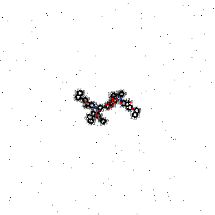 CC1(C)c2cc(-c3cccc4ccccc34)ccc2-c2ccc(N(c3ccc4cc5cc(-c6ccc(N(c7ccc8c(c7)C(C)(C)c7cc(-c9cccc%10ccccc9%10)ccc7-8)c7ccc8c(ccc9ccccc98)c7)c(-c7cccc(-c8ccccc8)c7)c6)ccc5cc4c3)c3ccccc3-c3cccc(-c4ccccc4)c3)cc21